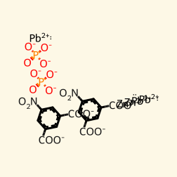 O=C([O-])c1cc(C(=O)[O-])cc([N+](=O)[O-])c1.O=C([O-])c1cc(C(=O)[O-])cc([N+](=O)[O-])c1.O=P([O-])([O-])[O-].O=P([O-])([O-])[O-].[Pb+2].[Pb+2].[Pb+2].[Zn+2].[Zn+2]